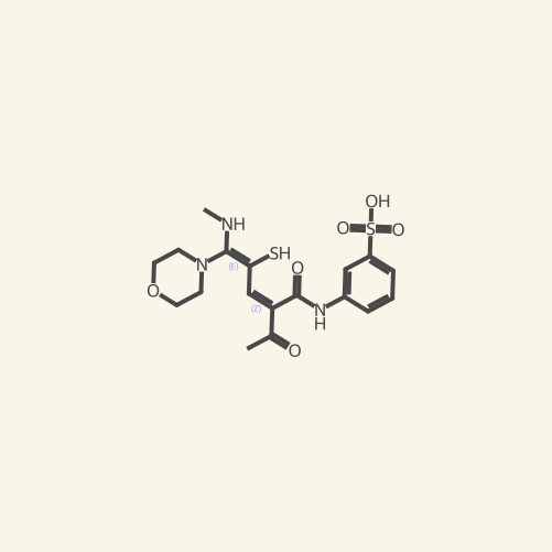 CN/C(=C(S)/C=C(/C(C)=O)C(=O)Nc1cccc(S(=O)(=O)O)c1)N1CCOCC1